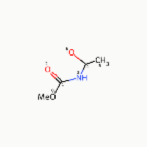 COC(=O)NC(C)[O]